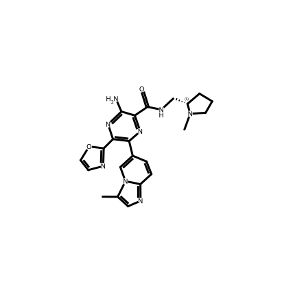 Cc1cnc2ccc(-c3nc(C(=O)NC[C@@H]4CCCN4C)c(N)nc3-c3ncco3)cn12